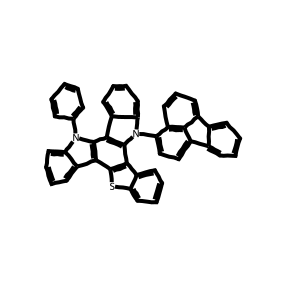 c1ccc(-n2c3ccccc3c3c4sc5ccccc5c4c4c(c5ccccc5n4-c4ccc5c6c(cccc46)-c4ccccc4-5)c32)cc1